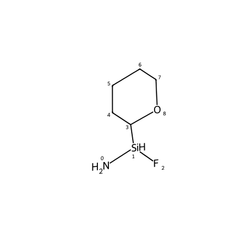 N[SiH](F)C1CCCCO1